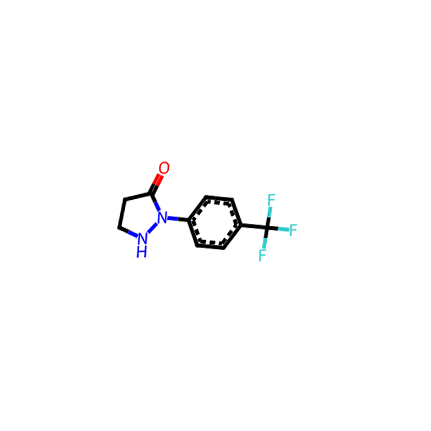 O=C1CCNN1c1ccc(C(F)(F)F)cc1